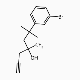 C#CCC(O)(CC(C)(C)c1cccc(Br)c1)C(F)(F)F